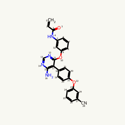 C=CC(=O)Nc1cccc(Oc2ncnc(N)c2-c2ccc(Oc3cccc(C#N)c3)cc2)c1